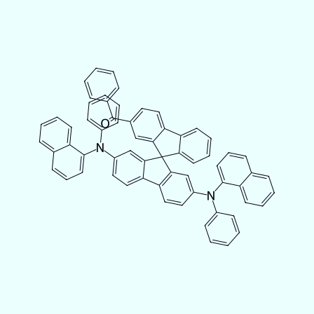 O=C(c1ccccc1)c1ccc2c(c1)C1(c3ccccc3-2)c2cc(N(c3ccccc3)c3cccc4ccccc34)ccc2-c2ccc(N(c3ccccc3)c3cccc4ccccc34)cc21